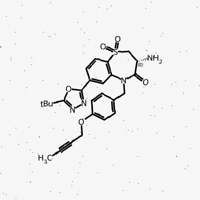 CC#CCOc1ccc(CN2C(=O)[C@@H](N)CS(=O)(=O)c3ccc(-c4nnc(C(C)(C)C)o4)cc32)cc1